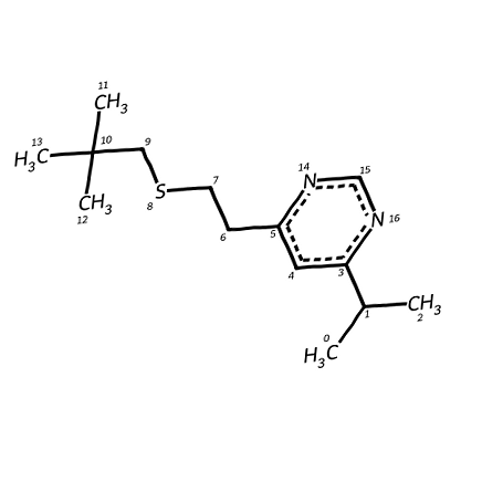 CC(C)c1cc(CCSCC(C)(C)C)ncn1